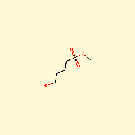 O=S(=O)(CCCCO)OF